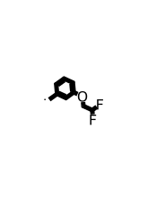 [CH2]c1cccc(OCC(F)F)c1